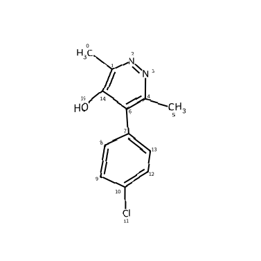 Cc1nnc(C)c(-c2ccc(Cl)cc2)c1O